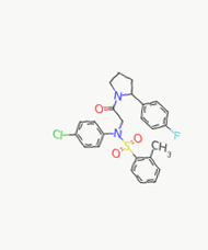 Cc1ccccc1S(=O)(=O)N(CC(=O)N1CCCC1c1ccc(F)cc1)c1ccc(Cl)cc1